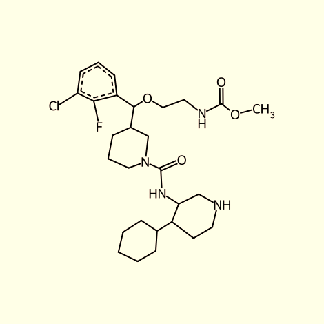 COC(=O)NCCOC(c1cccc(Cl)c1F)C1CCCN(C(=O)NC2CNCCC2C2CCCCC2)C1